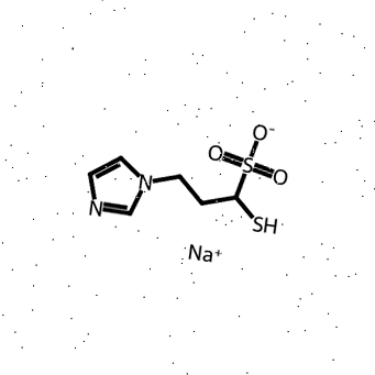 O=S(=O)([O-])C(S)CCn1ccnc1.[Na+]